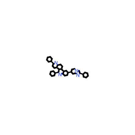 c1ccc(-c2ccc3c(ccc4c5cc(-c6ccn7cc(-c8ccccc8)nc7c6)ccc5nc(-c5ccccc5)c34)n2)cc1